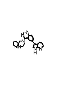 c1cnc2[nH]cc(-c3ccc4ncnc(N5CCNC6(CCCC6)C5)c4c3)c2c1